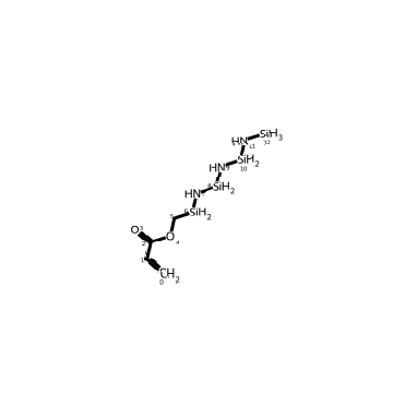 C=CC(=O)OC[SiH2]N[SiH2]N[SiH2]N[SiH3]